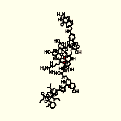 CCCC(=O)OCN(C(=O)C(NC(=O)[C@H]1CCCCN1C)[C@@H](C)CC)[C@H](C[C@@H](OC(C)=O)c1nc(C(=O)N[C@@H](Cc2ccc(O)cc2)C[C@H](C)[C@@H](O)NNC(=O)OCCSSC[C@@H](NC(=O)[C@@H](CC(=O)O)NC(=O)[C@H](CC(=O)O)NC(=O)[C@H](CCCNC(=N)N)NC(=O)[C@H](CC(=O)O)NC(=O)CC[C@H](NC(=O)c2ccc(NCc3cnc4nc(N)[nH]c(=O)c4n3)cc2)C(=O)O)C(=O)O)cs1)C(C)C